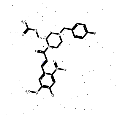 COc1cc(/C=C/C(=O)N2CCN(Cc3ccc(F)cc3)C[C@H]2COC(C)=O)c([N+](=O)[O-])cc1Cl